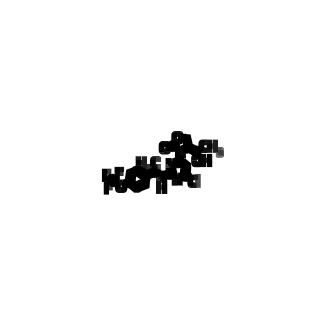 C[C@H](Nc1nc(Cl)cc(N2C(=O)OCC2[C@@H](C)O)n1)c1ccc(OC(F)(F)F)cc1